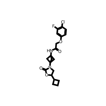 O=C(COc1ccc(Cl)c(F)c1)NC12CC(N3CC(C4CCC4)OC3=O)(C1)C2